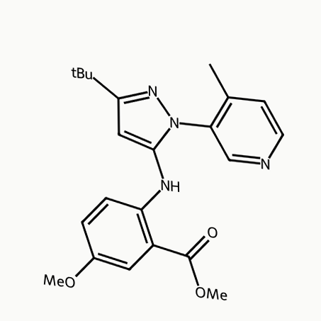 COC(=O)c1cc(OC)ccc1Nc1cc(C(C)(C)C)nn1-c1cnccc1C